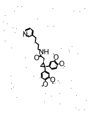 COc1ccc(C2(c3ccc(OC)c(OC)c3)C[C@H]2CC(=O)NCCCCc2cccnc2)cc1OC